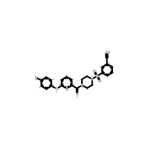 C#Cc1cccc(S(=O)(=O)N2CCN(C(=O)c3cccc(Oc4ccc(F)cc4)n3)CC2)c1